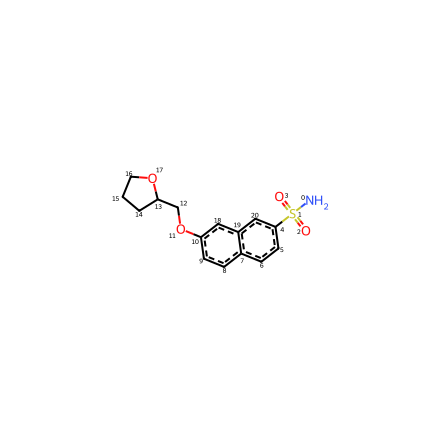 NS(=O)(=O)c1ccc2ccc(OCC3CCCO3)cc2c1